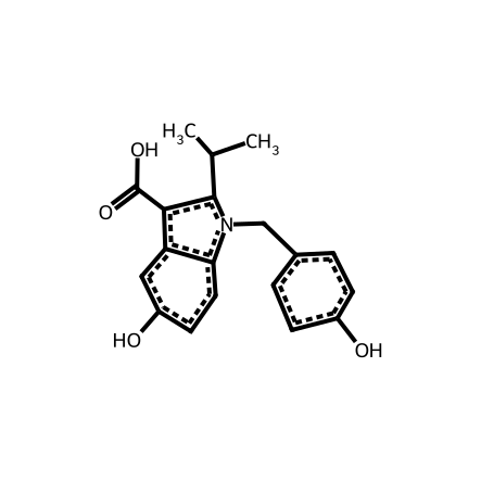 CC(C)c1c(C(=O)O)c2cc(O)ccc2n1Cc1ccc(O)cc1